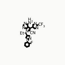 CC[C@@H](c1cnn(-c2ccccc2F)c1)n1c(C#N)c(-c2cnc(C(F)(F)F)nc2)c2c(N)ncnc21